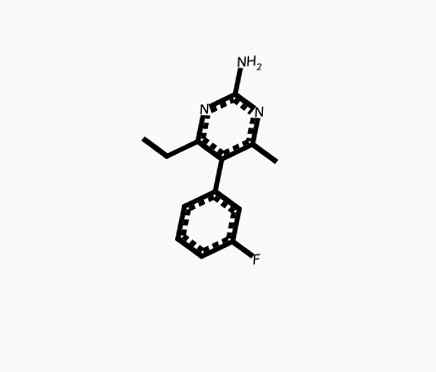 CCc1nc(N)nc(C)c1-c1cccc(F)c1